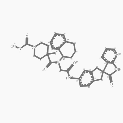 CC(C)(C)OC(=O)N1CCC(C)(C(=O)N(CC(=O)Nc2ccc3c(c2)CC2(C3)C(=O)Nc3ncccc32)C2CCCc3ccccc32)CC1